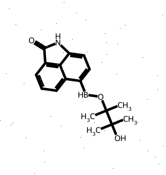 CC(C)(O)C(C)(C)OBc1ccc2c3c(cccc13)C(=O)N2